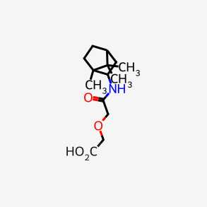 CC1(C)C2CCC1(C)C(NC(=O)COCC(=O)O)C2